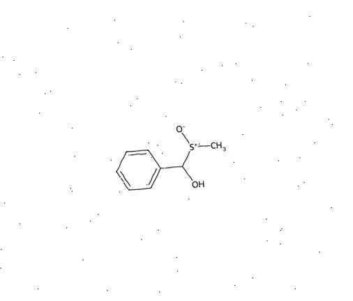 C[S+]([O-])C(O)c1ccccc1